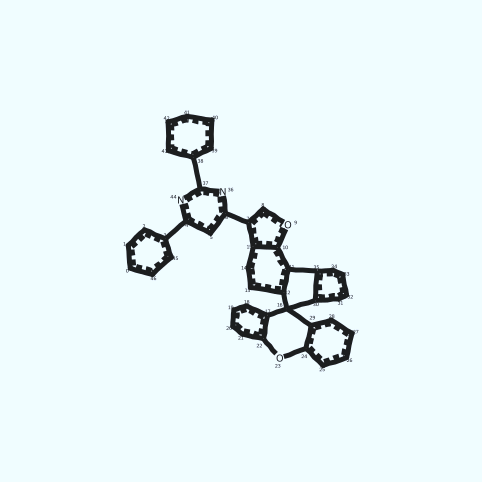 c1ccc(-c2cc(-c3coc4c5c(ccc34)C3(c4ccccc4Oc4ccccc43)c3ccccc3-5)nc(-c3ccccc3)n2)cc1